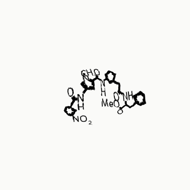 COC(=O)C(Cc1ccccc1)NC(=O)Cc1cccc(NC(=O)c2cc(NC(=O)c3cccc([N+](=O)[O-])c3)cn2C)c1